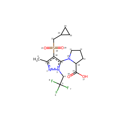 Cc1nn(CC(F)(F)F)c(N2CCCC2C(=O)O)c1S(=O)(=O)CC1CC1